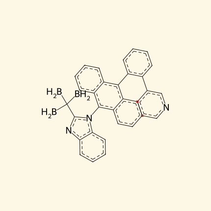 BC(B)(B)c1nc2ccccc2n1-c1c2ccccc2c(-c2ccccc2-c2cccnc2)c2ccccc12